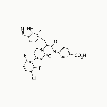 Cc1c(CC(C(=O)Nc2ccc(C(=O)O)cc2)N2CCC(c3c(F)ccc(Cl)c3F)=CC2=O)ccc2cn[nH]c12